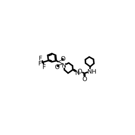 O=C(NC1CCCCC1)ON=C1CCN(S(=O)(=O)c2cccc(C(F)(F)F)c2)CC1